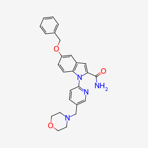 NC(=O)c1cc2cc(OCc3ccccc3)ccc2n1-c1ccc(CN2CCOCC2)cn1